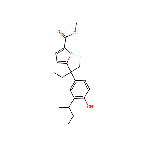 CCC(C)c1cc(C(CC)(CC)c2ccc(C(=O)OC)o2)ccc1O